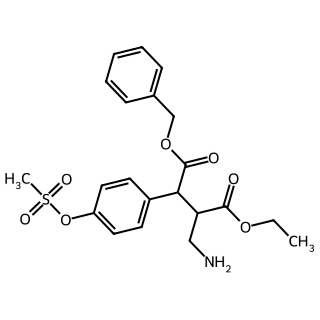 CCOC(=O)C(CN)C(C(=O)OCc1ccccc1)c1ccc(OS(C)(=O)=O)cc1